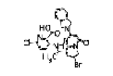 C[C@@H](Nc1ccc(Cl)nc1C(=O)O)c1cc(Br)cn2c(=O)cc(N3Cc4ccccc4C3)nc12